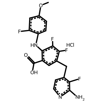 COc1ccc(Nc2c(C(=O)O)cc(Cc3ccnc(N)c3F)c(F)c2F)c(F)c1.Cl